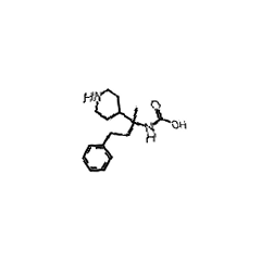 CC(CCc1ccccc1)(NC(=O)O)C1CCNCC1